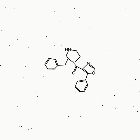 O=C(c1ncoc1-c1ccccc1)N1CCNCC1Cc1ccccc1